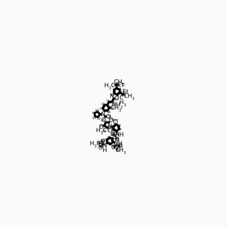 CCC(C)(C)c1cc(C(C)(C)CC)c2oc(/C(N)=C/c3ccc(N(C(=O)OC4C(=O)N(c5cc(NS(=O)(=O)c6ccc(NS(C)(=O)=O)cc6NS(C)(=O)=O)ccc5Cl)C(C)(C)C4=O)C4CCCC4)cc3C)nc2c1